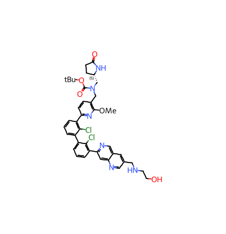 COc1nc(-c2cccc(-c3cccc(-c4cc5ncc(CNCCO)cc5cn4)c3Cl)c2Cl)ccc1CN(C[C@@H]1CCC(=O)N1)C(=O)OC(C)(C)C